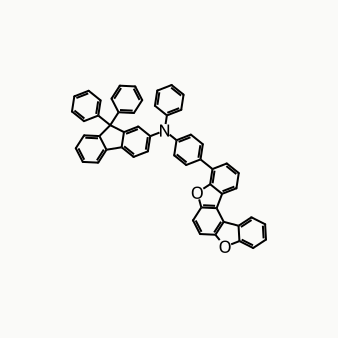 c1ccc(N(c2ccc(-c3cccc4c3oc3ccc5oc6ccccc6c5c34)cc2)c2ccc3c(c2)C(c2ccccc2)(c2ccccc2)c2ccccc2-3)cc1